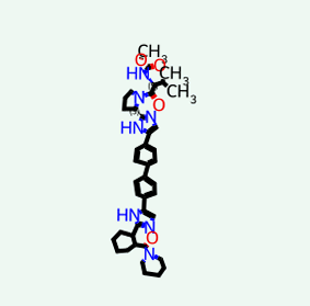 COC(=O)N[C@H](C(=O)N1CCC[C@H]1c1ncc(-c2ccc(-c3ccc(-c4cnc(C5CCCCC5C(=O)N5CCCCC5)[nH]4)cc3)cc2)[nH]1)C(C)C